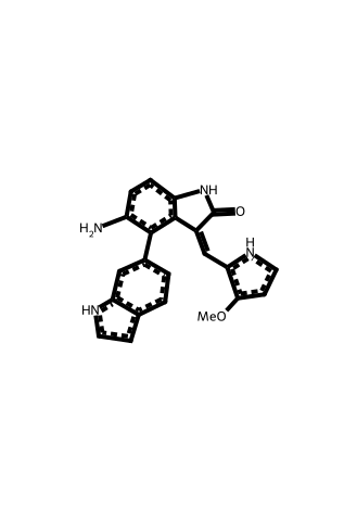 COc1cc[nH]c1C=C1C(=O)Nc2ccc(N)c(-c3ccc4cc[nH]c4c3)c21